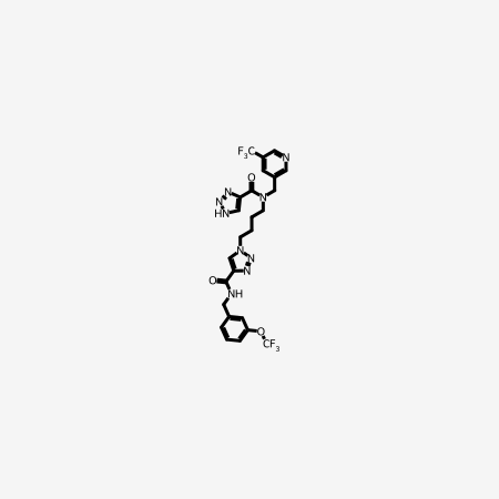 O=C(NCc1cccc(OC(F)(F)F)c1)c1cn(CCCCN(Cc2cncc(C(F)(F)F)c2)C(=O)c2c[nH]nn2)nn1